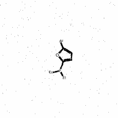 CCP(CC)c1ccc(C(C)=O)o1